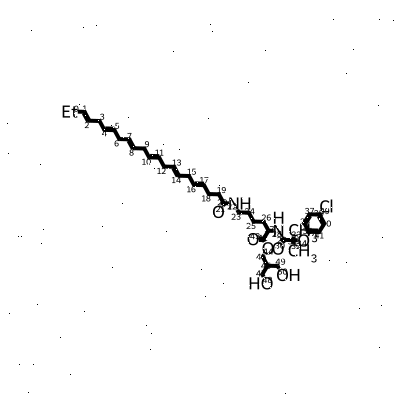 CCC=CCC=CCC=CCC=CCC=CCC=CCCC(=O)NCCCCC(NC(=O)C(C)(C)Oc1ccc(Cl)cc1)C(=O)OCC(CO)CO